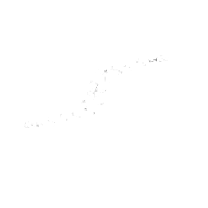 CC(C)(C)OCCCCCCC1CCC([Si](C)(C)C2CCC(CCCCCCOC(C)(C)C)C2)C1